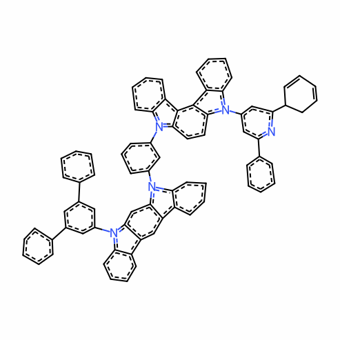 C1=CCC(c2cc(-n3c4ccccc4c4c5c6ccccc6n(-c6cccc(-n7c8ccccc8c8cc9c%10ccccc%10n(-c%10cc(-c%11ccccc%11)cc(-c%11ccccc%11)c%10)c9cc87)c6)c5ccc43)cc(-c3ccccc3)n2)C=C1